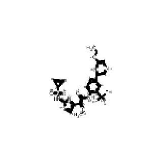 CCOc1cncc(-c2ccc(NC(=O)C(OC)c3csc(NS(=O)(=O)C4CC4)n3)c(C(F)(F)F)c2)n1